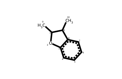 CC1Oc2ccc[c]c2C1C